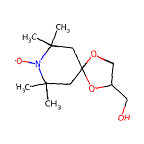 CC1(C)CC2(CC(C)(C)N1[O])OCC(CO)O2